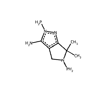 CC1(C)c2nn(P)c(N)c2CN1P